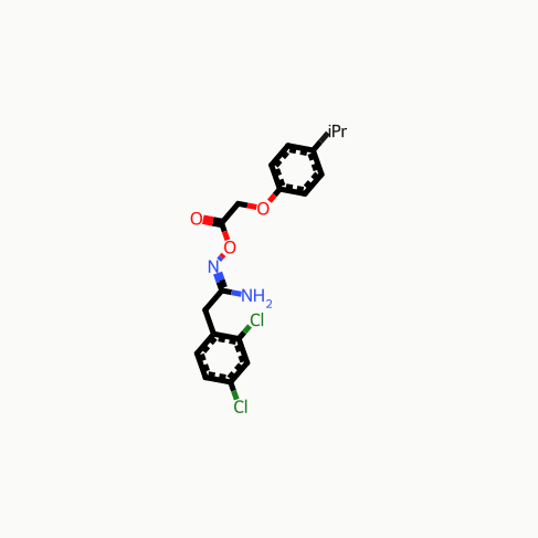 CC(C)c1ccc(OCC(=O)O/N=C(\N)Cc2ccc(Cl)cc2Cl)cc1